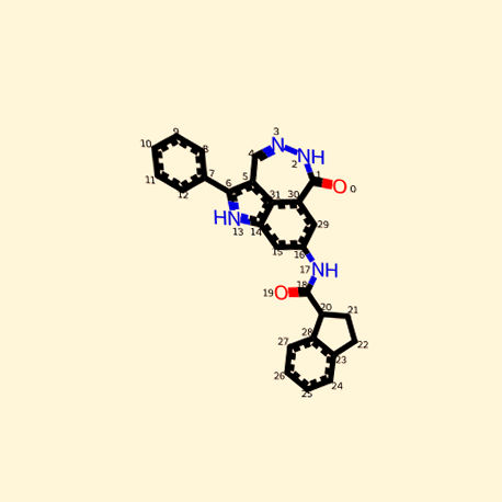 O=C1NN=Cc2c(-c3ccccc3)[nH]c3cc(NC(=O)C4CCc5ccccc54)cc1c23